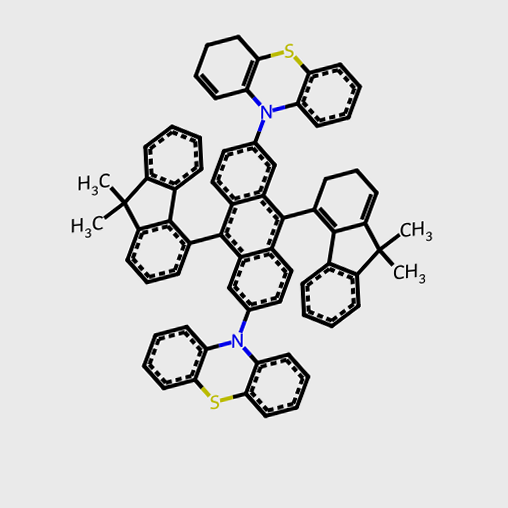 CC1(C)C2=CCCC(c3c4cc(N5C6=C(CCC=C6)Sc6ccccc65)ccc4c(-c4cccc5c4-c4ccccc4C5(C)C)c4cc(N5c6ccccc6Sc6ccccc65)ccc34)=C2c2ccccc21